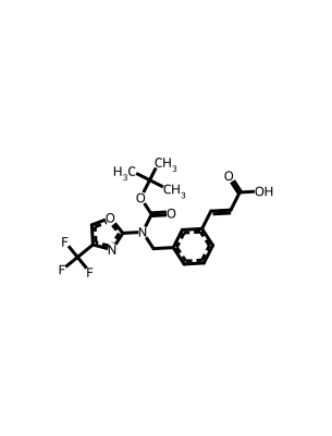 CC(C)(C)OC(=O)N(Cc1cccc(C=CC(=O)O)c1)c1nc(C(F)(F)F)co1